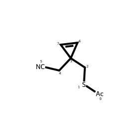 CC(=O)SCC1(CC#N)C=C1